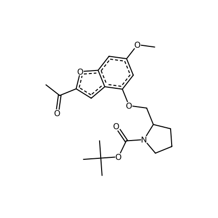 COc1cc(OCC2CCCN2C(=O)OC(C)(C)C)c2cc(C(C)=O)oc2c1